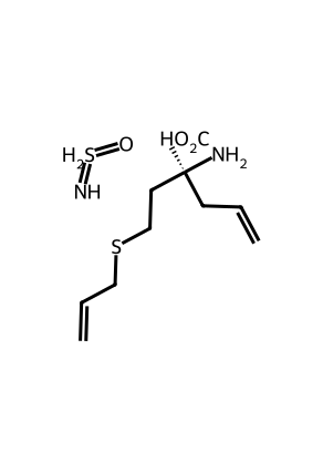 C=CCSCC[C@@](N)(CC=C)C(=O)O.N=[SH2]=O